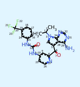 CC(C)n1cc(C(=O)c2cc(NC(=O)Nc3cccc(C(F)(F)F)c3)ccn2)c2c(N)ncnc21